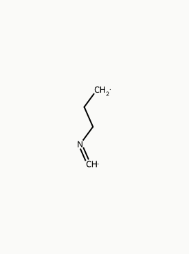 [CH]=NCC[CH2]